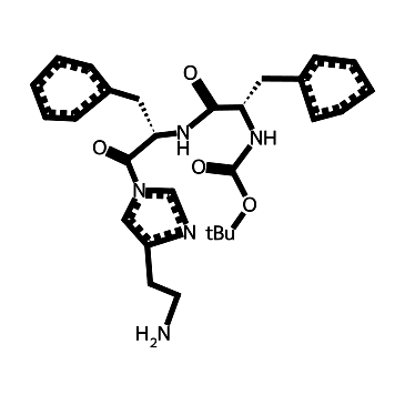 CC(C)(C)OC(=O)N[C@@H](Cc1ccccc1)C(=O)N[C@@H](Cc1ccccc1)C(=O)n1cnc(CCN)c1